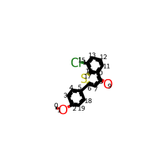 COc1ccc(-c2cc(=O)c3cccc(Cl)c3s2)cc1